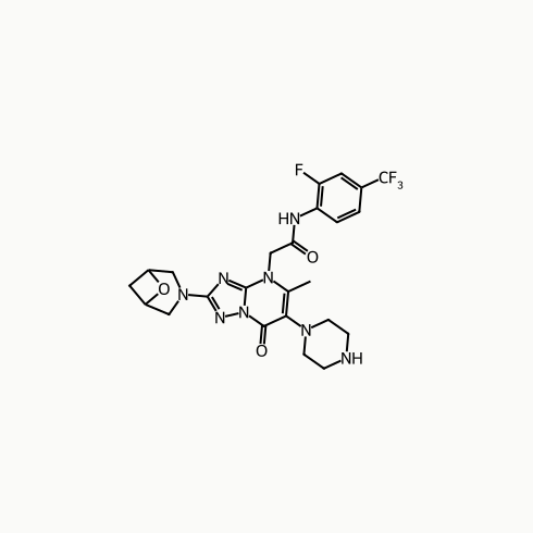 Cc1c(N2CCNCC2)c(=O)n2nc(N3CC4CC(C3)O4)nc2n1CC(=O)Nc1ccc(C(F)(F)F)cc1F